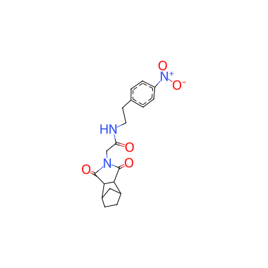 O=C(CN1C(=O)C2C3CCC(C3)C2C1=O)NCCc1ccc([N+](=O)[O-])cc1